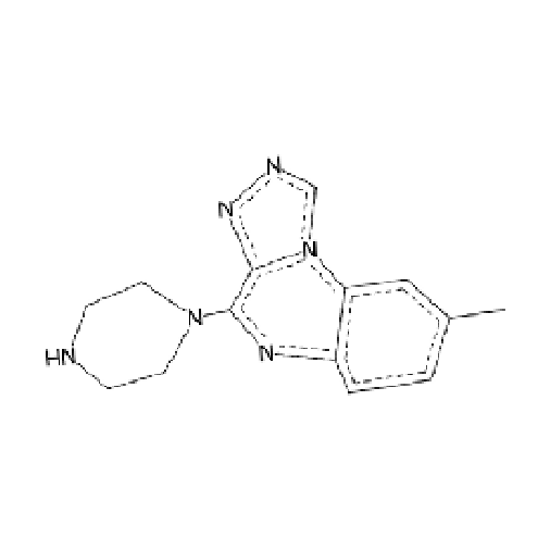 Cc1ccc2nc(N3CCNCC3)c3nncn3c2c1